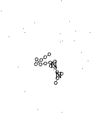 c1ccc(-c2ccc(-c3ccc(C4(c5cccc(-c6ccc(-c7ccc(-c8ccccc8-n8c9ccccc9c9cc(-c%10ccc%11c(c%10)c%10ccccc%10n%11-c%10ccc(-c%11ccccc%11)cc%10)ccc98)cc7)cc6)c5)c5ccccc5-c5ccccc54)cc3)cc2)cc1